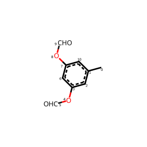 Cc1cc(OC=O)cc(OC=O)c1